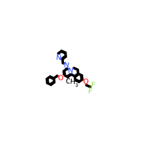 Cc1c(OCc2ccccc2)c/c(=N\Cc2ccccn2)n2c1-c1ccc(OCC(F)F)cc1CC2